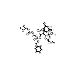 COC1O[C@H]([C@@H](COP(=O)(OCOC(=O)OC2COC2)OCc2ccccc2)OC)C(C)(n2ccc(=O)[nH]c2=O)O1